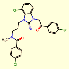 CN(CCCn1c(=N)n(CC(=O)c2ccc(Br)cc2)c2cccc(Cl)c21)C(=O)c1ccc(Cl)cc1